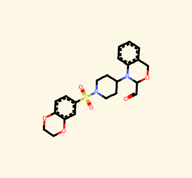 O=CC1OCc2ccccc2N1C1CCN(S(=O)(=O)c2ccc3c(c2)OCCO3)CC1